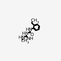 CCc1ccccc1NC(=O)NC(=N)NC